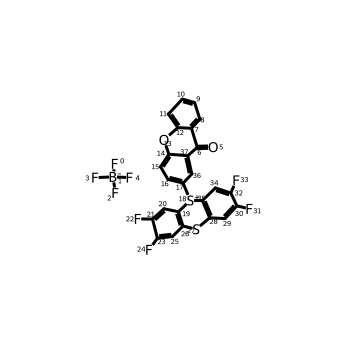 F[B-](F)(F)F.O=c1c2ccccc2oc2ccc([S+]3c4cc(F)c(F)cc4Sc4cc(F)c(F)cc43)cc12